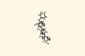 Cc1cnc(N2CCN(c3nnc(Cc4ccccc4)c(C)c3C)C[C@H]2C)cn1